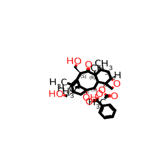 CC(=O)O[C@@]12CO[C@@H]1C[C@H](C)[C@@]1(C)C(=O)[C@H](CO)C3=C(C)[C@@H](CO)C[C@@](O)([C@@H](OC(=O)c4ccccc4)C12)C3(C)C